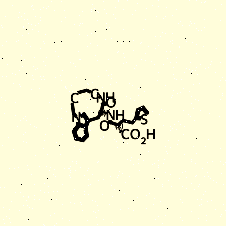 O=C(O)C[C@@H](CCc1cccs1)C(=O)N[C@H]1Cc2cn(c3ccccc23)CCCCCCNC1=O